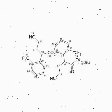 CC(C)(C)OC(=O)C(CCC#N)c1ccccc1C(F)(F)F.N#CCCC(C(=O)O)c1ccccc1C(F)(F)F